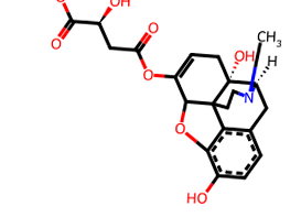 CC(C)OC(=O)[C@@H](O)CC(=O)OC1=CC[C@@]2(O)[C@H]3Cc4ccc(O)c5c4C2(CCN3C)C1O5